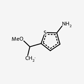 [CH2]C(OC)c1ccc(N)s1